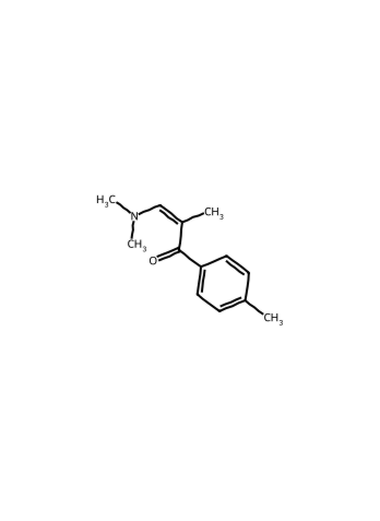 C/C(=C/N(C)C)C(=O)c1ccc(C)cc1